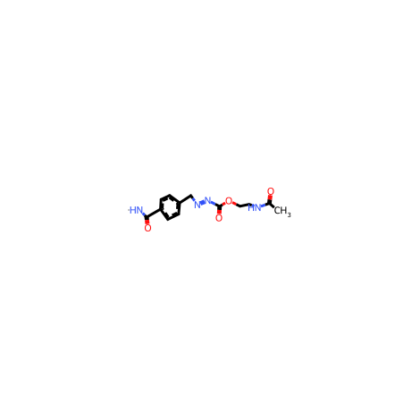 CC(=O)NCCOC(=O)/N=N/Cc1ccc(C([NH])=O)cc1